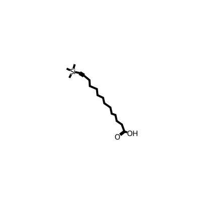 C[Si](C)(C)C#CCCCCCCCCCCCC(=O)O